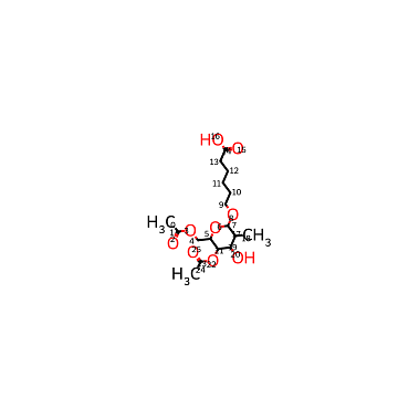 CC(=O)OCC1OC(OCCCCCC(=O)O)C(C)C(O)C1OC(C)=O